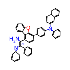 N/C(=C(\N=C1\C=CC=CC1)c1ccccc1)c1ccc(-c2ccc(N(c3ccccc3)c3ccc4ccccc4c3)cc2)c2oc3ccccc3c12